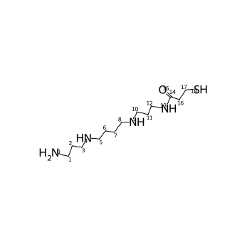 NCCCNCCCCNCCCNC(=O)CCS